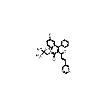 CC(C)(O)Cn1c(=O)c(C(=O)/C=C/c2cncnc2)c(-c2ccccc2)c2cc(F)ccc21